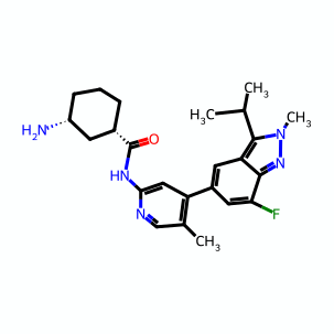 Cc1cnc(NC(=O)[C@H]2CCC[C@@H](N)C2)cc1-c1cc(F)c2nn(C)c(C(C)C)c2c1